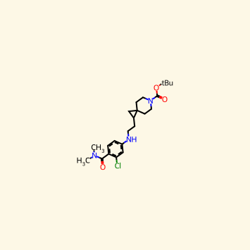 CN(C)C(=O)c1ccc(NCCC2CC23CCN(C(=O)OC(C)(C)C)CC3)cc1Cl